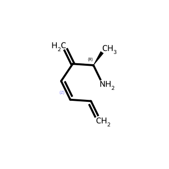 C=C/C=C\C(=C)[C@@H](C)N